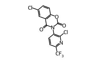 O=c1oc2ccc(Cl)cc2c(=O)n1-c1ccc(C(F)(F)F)nc1Cl